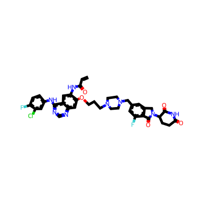 C=CC(=O)Nc1cc2c(Nc3ccc(F)c(Cl)c3)ncnc2cc1OCCCN1CCN(Cc2cc(F)c3c(c2)CN(C2CCC(=O)NC2=O)C3=O)CC1